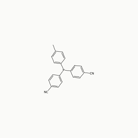 Cc1ccc(P(c2ccc(C#N)cc2)c2ccc(C#N)cc2)cc1